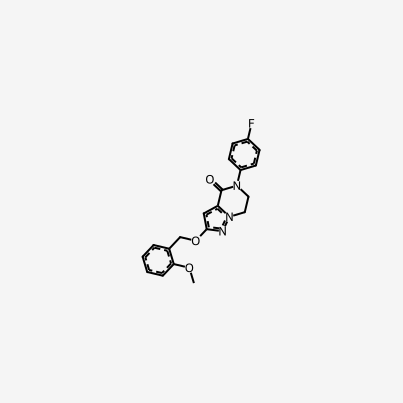 COc1ccccc1COc1cc2n(n1)CCN(c1ccc(F)cc1)C2=O